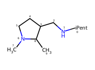 CCCC(C)NCC1CCN(C)C1C